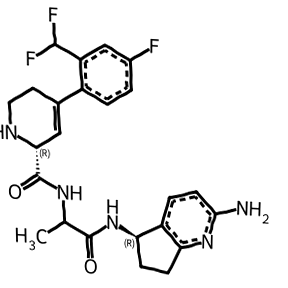 CC(NC(=O)[C@H]1C=C(c2ccc(F)cc2C(F)F)CCN1)C(=O)N[C@@H]1CCc2nc(N)ccc21